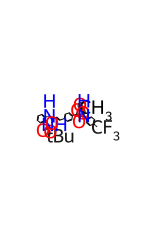 CC(C)(C)OC(=O)Nc1ccccc1NC(=O)/C=C/c1ccc(C(OS(C)(=O)=O)C(=O)Nc2ccc(C(F)(F)F)cc2)cc1